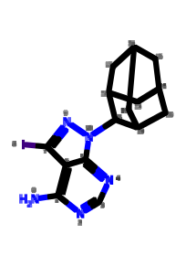 Nc1ncnc2c1c(I)nn2C1C2CC3CC(C2)CC1C3